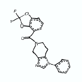 O=C(c1cccc2c1OC(F)(F)O2)N1CCc2c(ncn2-c2ccccc2)C1